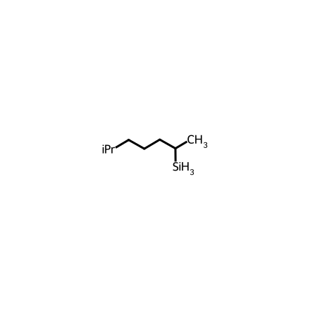 CC(C)CCCC(C)[SiH3]